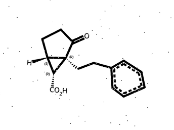 O=C(O)[C@@H]1[C@@H]2CCC(=O)[C@@]12CCc1ccccc1